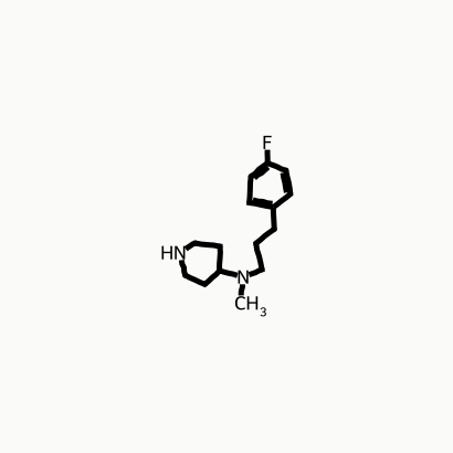 CN(CCCc1ccc(F)cc1)C1CCNCC1